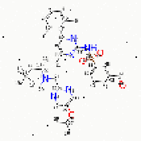 Cc1cccc(C)c1-c1cc(CC[C@@H](CC(C)(C)C)N(C)Cc2ncc(OC(C)C)cn2)nc(NS(=O)(=O)c2cccc(C=O)c2)n1